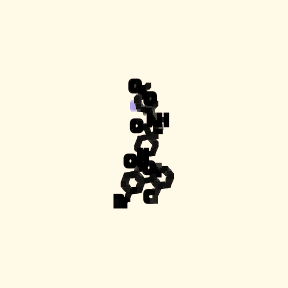 C[C@H](/C=C\S(C)(=O)=O)NC(=O)C1(F)CCN(S(=O)(=O)c2ccc(Br)cc2-c2ncccc2Cl)CC1